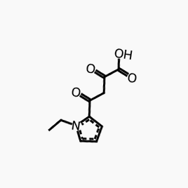 CCn1cccc1C(=O)CC(=O)C(=O)O